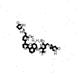 COc1nc(-c2ccnc(-c3cccc4c3CCC[C@H]4Nc3nc(OC)c(CN4CC5(CNC(=O)C5)C4)cc3C(F)(F)F)c2Cl)ccc1CNC[C@@H]1CCC(=O)N1